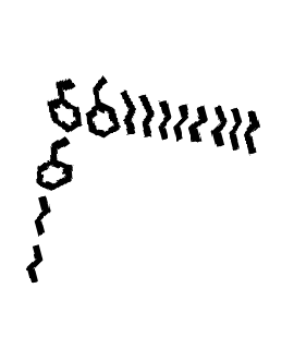 C=CC=C.C=CC=C.C=CC=C.C=CC=C.C=CC=C.C=CC=C.C=CC=C.C=CC=C.C=CC=C.C=CC=C.C=Cc1ccccc1.C=Cc1ccccc1.C=Cc1ccccc1